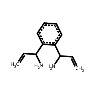 C=CC(N)c1ccccc1C(N)C=C